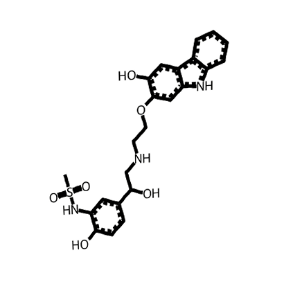 CS(=O)(=O)Nc1cc(C(O)CNCCOc2cc3[nH]c4ccccc4c3cc2O)ccc1O